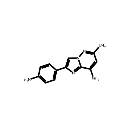 Nc1ccc(-c2cn3nc(N)cc(N)c3n2)cc1